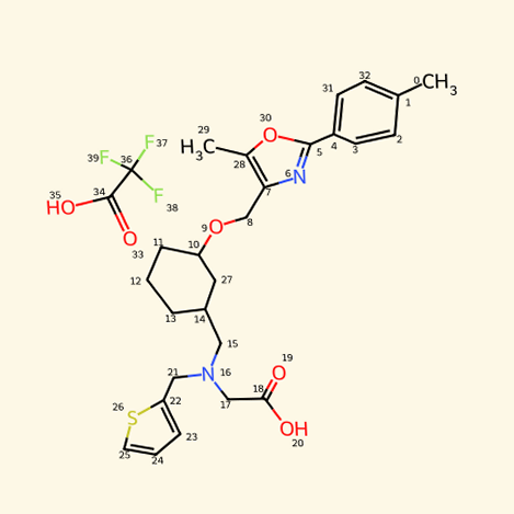 Cc1ccc(-c2nc(COC3CCCC(CN(CC(=O)O)Cc4cccs4)C3)c(C)o2)cc1.O=C(O)C(F)(F)F